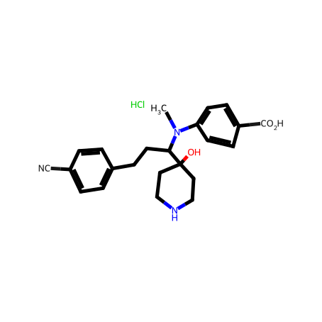 CN(c1ccc(C(=O)O)cc1)C(CCc1ccc(C#N)cc1)C1(O)CCNCC1.Cl